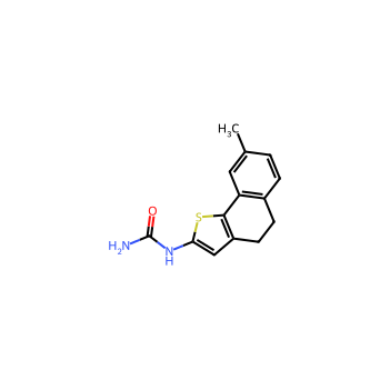 Cc1ccc2c(c1)-c1sc(NC(N)=O)cc1CC2